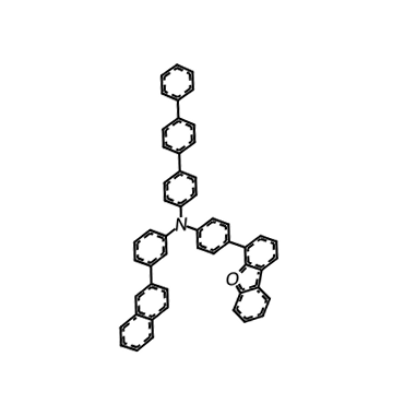 c1ccc(-c2ccc(-c3ccc(N(c4ccc(-c5cccc6c5oc5ccccc56)cc4)c4cccc(-c5ccc6ccccc6c5)c4)cc3)cc2)cc1